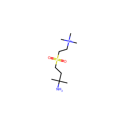 CC(C)(N)CCS(=O)(=O)CC[N+](C)(C)C